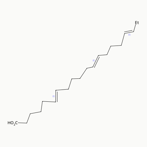 CC/C=C/CCC/C=C/CCCC/C=C/CCCCC(=O)O